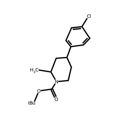 CC1CC(c2ccc(Cl)cc2)CCN1C(=O)OC(C)(C)C